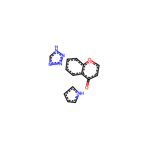 O=c1ccoc2ccccc12.c1cc[nH]c1.c1nnn[nH]1